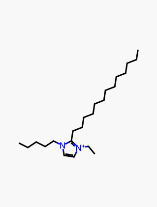 CCCCCCCCCCCCCc1n(CCCCC)cc[n+]1CC